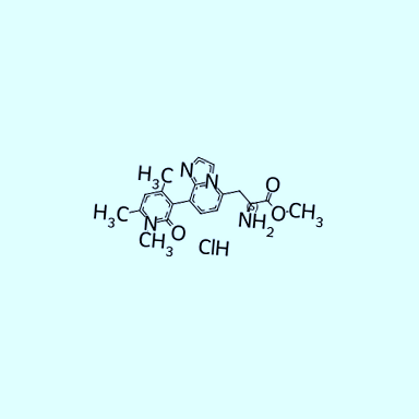 COC(=O)[C@@H](N)Cc1ccc(-c2c(C)cc(C)n(C)c2=O)c2nccn12.Cl